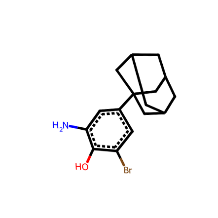 Nc1cc(C23CC4CC(CC(C4)C2)C3)cc(Br)c1O